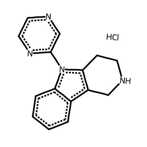 Cl.c1ccc2c(c1)c1c(n2-c2cnccn2)CCNC1